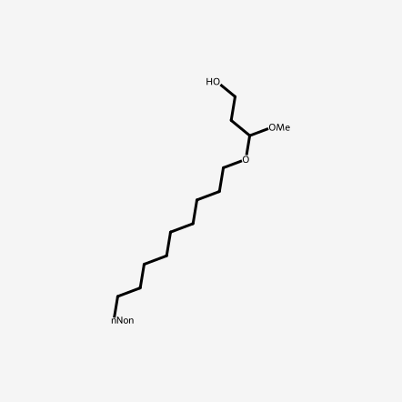 CCCCCCCCCCCCCCCCCCOC(CCO)OC